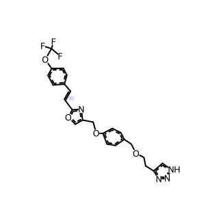 FC(F)(F)Oc1ccc(/C=C/c2nc(COc3ccc(COCCc4c[nH]nn4)cc3)co2)cc1